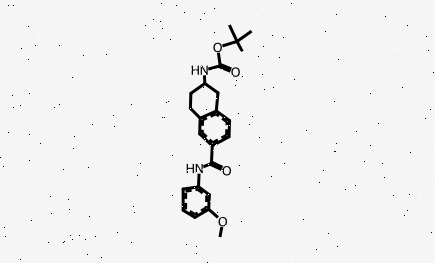 COc1cccc(NC(=O)c2ccc3c(c2)CCC(NC(=O)OC(C)(C)C)C3)c1